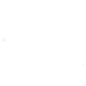 COCCCOC(=O)C(C)=CCCCO